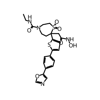 CCNC(=O)N1CCC(CC(=O)NO)(c2ccc(-c3ccc(-c4cnco4)cc3)s2)S(=O)(=O)CC1